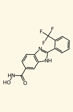 O=C(NO)c1ccc2nc(-c3ccccc3C(F)(F)F)[nH]c2c1